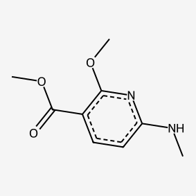 CNc1ccc(C(=O)OC)c(OC)n1